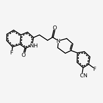 N#Cc1cc(C2=CCN(C(=O)CCc3cc4cccc(F)c4c(=O)[nH]3)CC2)ccc1F